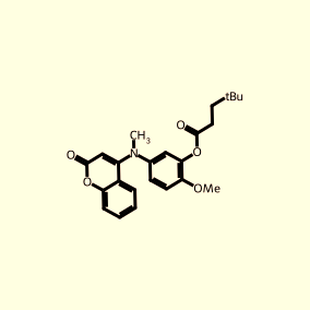 COc1ccc(N(C)c2cc(=O)oc3ccccc23)cc1OC(=O)CCC(C)(C)C